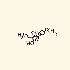 CCCc1c(O)nn(-c2ccc(OC)cc2)c1C